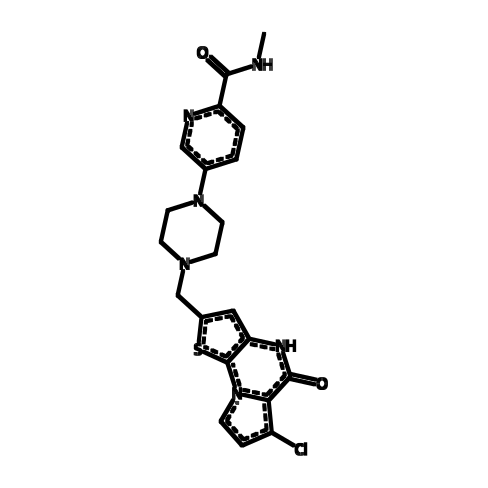 CNC(=O)c1ccc(N2CCN(Cc3cc4[nH]c(=O)c5c(Cl)ccn5c4s3)CC2)cn1